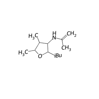 C=C(C)NC1C(C)C(C)OC1C(C)CC